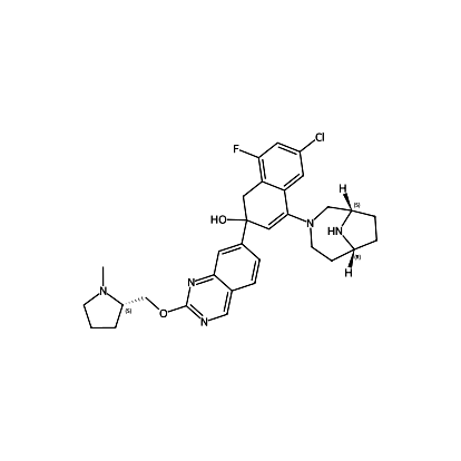 CN1CCC[C@H]1COc1ncc2ccc(C3(O)C=C(N4CC[C@H]5CC[C@@H](C4)N5)c4cc(Cl)cc(F)c4C3)cc2n1